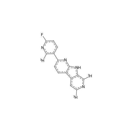 [3H]c1cc2c([nH]c3nc(-c4ccc(F)nc4[3H])ccc32)c([3H])n1